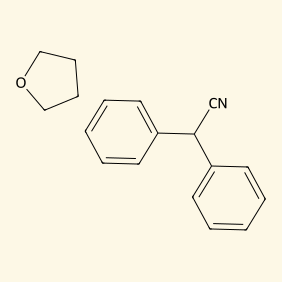 C1CCOC1.N#CC(c1ccccc1)c1ccccc1